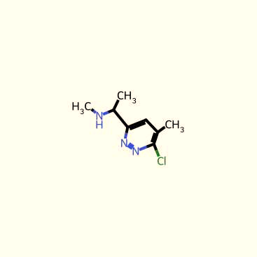 CNC(C)c1cc(C)c(Cl)nn1